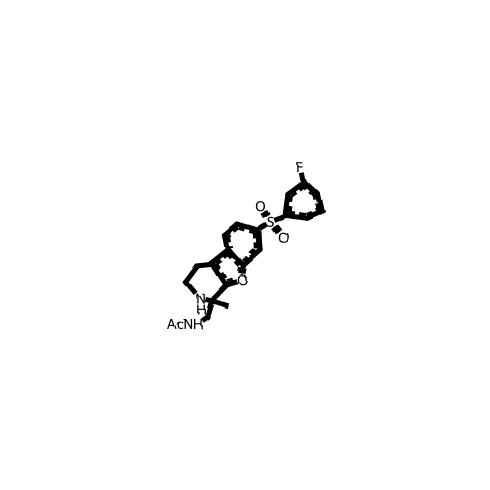 CC(=O)NCC1(C)NCCc2c1oc1cc(S(=O)(=O)c3cccc(F)c3)ccc21